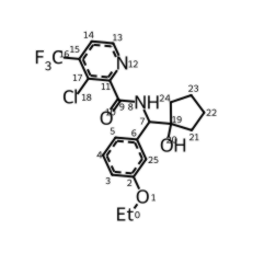 CCOc1cccc(C(NC(=O)c2nccc(C(F)(F)F)c2Cl)C2(O)CCCC2)c1